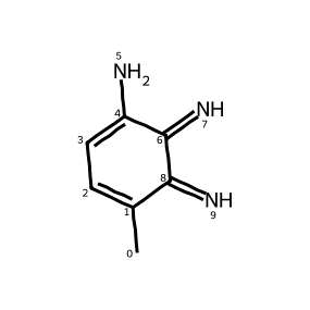 CC1=CC=C(N)C(=N)C1=N